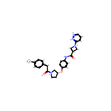 O=C(Nc1ccc(O[C@@H]2CCN(C(=O)Cc3ccc(C(F)(F)F)cc3)C2)cc1)C1CN(c2cccnn2)C1